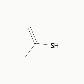 C=C(C)S